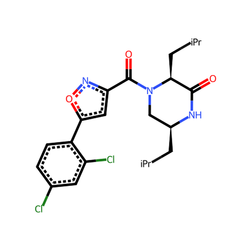 CC(C)C[C@H]1CN(C(=O)c2cc(-c3ccc(Cl)cc3Cl)on2)[C@@H](CC(C)C)C(=O)N1